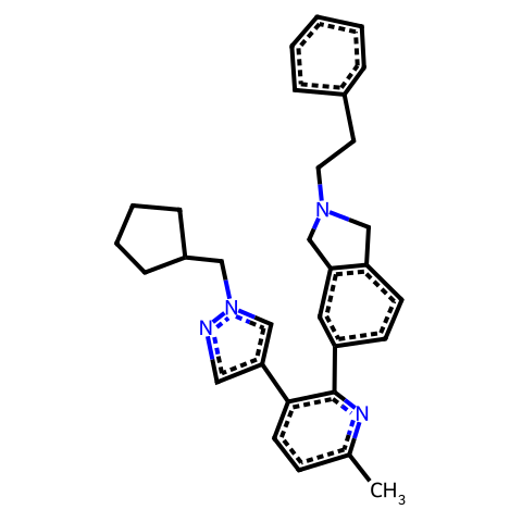 Cc1ccc(-c2cnn(CC3CCCC3)c2)c(-c2ccc3c(c2)CN(CCc2ccccc2)C3)n1